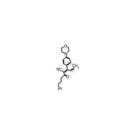 C/C=C\C(=C(\C#N)C(=O)CCCC(C)C)c1ccc(N2CCOCC2)cc1